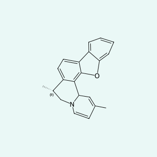 CC1=CC2c3c(ccc4c3oc3ccccc34)[C@@H](C)CN2C=C1